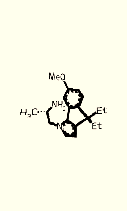 CCC1(CC)c2ccc(OC)cc2-c2c1ccn2C[C@H](C)N